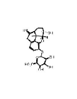 CC12c3c4ccc(OC5OC(C(=O)O)C(O)C(O)C5O)c3O[C@H]1[C@@H](O)CCC2C(=N)C4